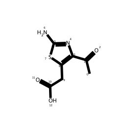 CC(=O)c1nc(N)sc1CC(=O)O